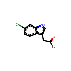 CCC(=O)Cc1c[nH]c2cc(Cl)ccc12